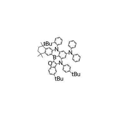 CC(C)(C)c1ccc(N2c3cc(N(c4ccccc4)c4ccccc4)cc4c3B(c3cc5c(cc3N4c3ccccc3C(C)(C)C)C(C)(C)CCC5(C)C)c3oc4ccc(C(C)(C)C)cc4c32)cc1